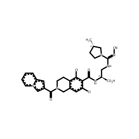 C[C@H]1CCN(/C(=N\C#N)NC[C@H](NC(=O)c2c(Cl)cc3c(c2Cl)CCN(C(=O)c2cc4ccccn4c2)C3)C(=O)O)C1